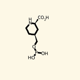 O=C(O)[C@H]1C[C@@H](COP(O)O)CCN1